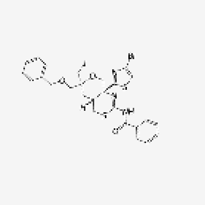 O=C(NC1=N[C@@]2(c3nc(Br)cs3)CO[C@](CI)(COCc3ccccc3)C[C@H]2CS1)c1ccccc1